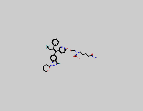 CNC(=O)CCCCN(CCOc1ccc(/C(=C(/CC(F)(F)F)c2ccccc2)c2ccc3c(c2)c(F)nn3C2CCCCO2)cn1)C(=O)O